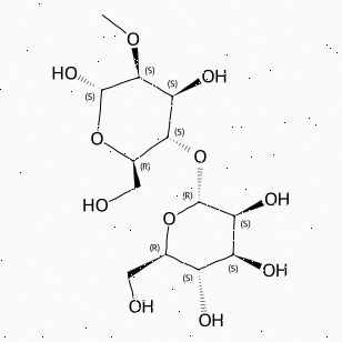 CO[C@H]1[C@@H](O)[C@H](O[C@H]2O[C@H](CO)[C@@H](O)[C@H](O)[C@@H]2O)[C@@H](CO)O[C@@H]1O